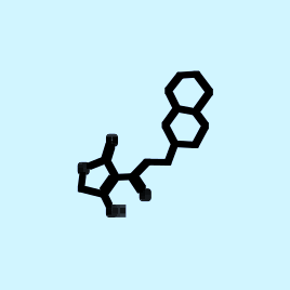 O=C(CCC1CCC2CCCCC2C1)C1=C(O)COC1=O